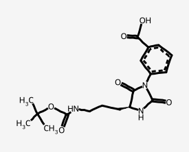 CC(C)(C)OC(=O)NCCC[C@@H]1NC(=O)N(c2cccc(C(=O)O)c2)C1=O